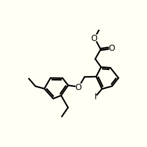 CCc1ccc(OCc2c(I)cccc2CC(=O)OC)c(CC)c1